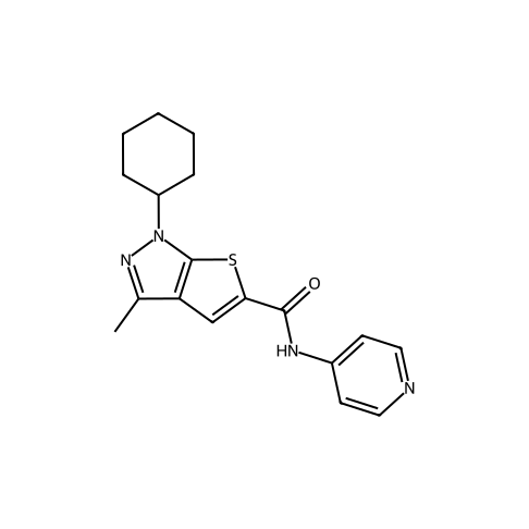 Cc1nn(C2CCCCC2)c2sc(C(=O)Nc3ccncc3)cc12